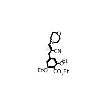 CCOC(=O)c1c(OCC)cc(C/C(C#N)=C/N2CCOCC2)cc1OCC